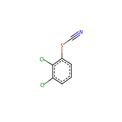 N#CSc1cccc(Cl)c1Cl